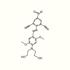 COc1cc(N(CCO)CCO)c(OC)cc1N=Nc1c(C#N)cc([N+](=O)[O-])cc1C#N